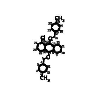 Cc1ccc(COc2c3ccccc3c(OCc3ccc(C)cc3)c3c(Cl)cccc23)cc1